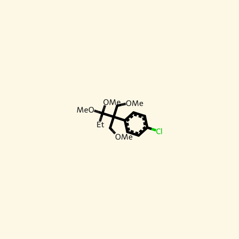 CCC(OC)(OC)C(COC)(COC)c1ccc(Cl)cc1